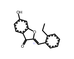 CCc1ccccc1/C=C1\Oc2cc(O)ccc2C1=O